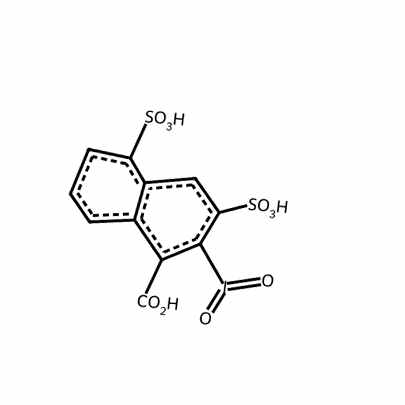 O=C(O)c1c(I(=O)=O)c(S(=O)(=O)O)cc2c(S(=O)(=O)O)cccc12